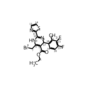 CCOC(=O)C1=C(CBr)NC(c2nccs2)=NC1c1ccc(F)c(F)c1C